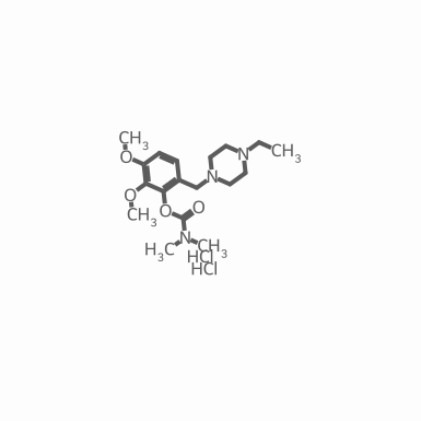 CCN1CCN(Cc2ccc(OC)c(OC)c2OC(=O)N(C)C)CC1.Cl.Cl